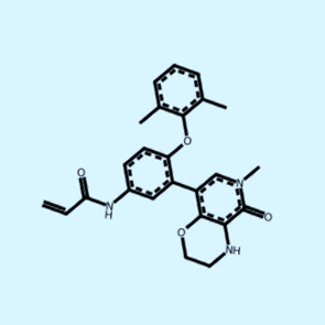 C=CC(=O)Nc1ccc(Oc2c(C)cccc2C)c(-c2cn(C)c(=O)c3c2OCCN3)c1